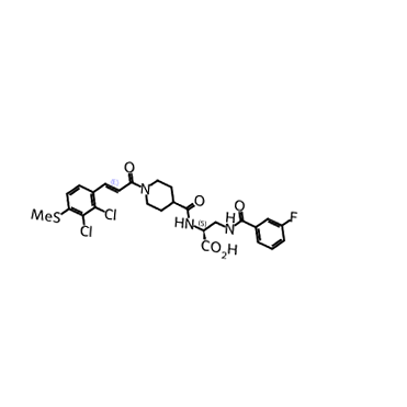 CSc1ccc(/C=C/C(=O)N2CCC(C(=O)N[C@@H](CNC(=O)c3cccc(F)c3)C(=O)O)CC2)c(Cl)c1Cl